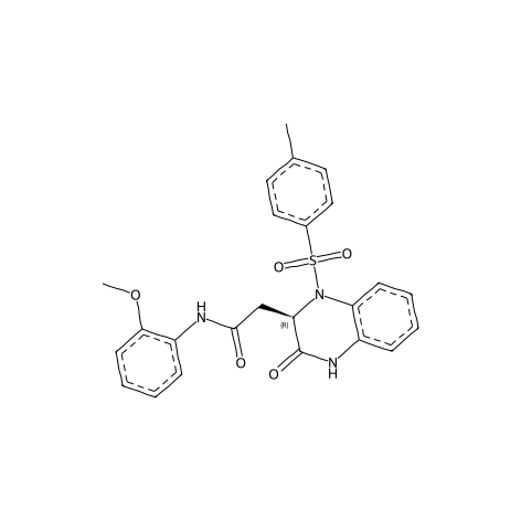 COc1ccccc1NC(=O)C[C@@H]1C(=O)Nc2ccccc2N1S(=O)(=O)c1ccc(C)cc1